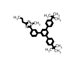 CCCc1nc(-c2cccc(-c3cc(-c4ccc(C(C)(C)C)cc4)cc(-c4ccc(C(C)(C)C)cc4)c3)c2)n(C)n1